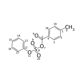 Cc1ccc(C(=O)OS(=O)(=O)Oc2ccccc2)cc1